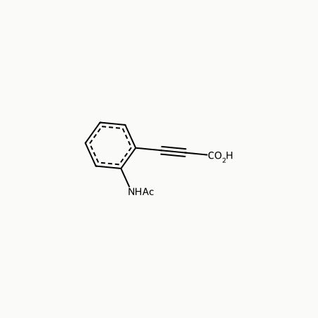 CC(=O)Nc1ccccc1C#CC(=O)O